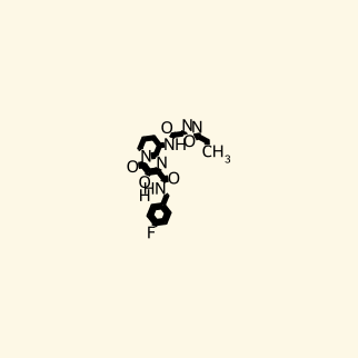 CCc1nnc(C(=O)NC2CCCn3c2nc(C(=O)NCc2ccc(F)cc2)c(O)c3=O)o1